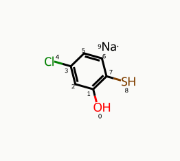 Oc1cc(Cl)ccc1S.[Na]